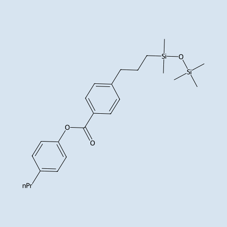 CCCc1ccc(OC(=O)c2ccc(CCC[Si](C)(C)O[Si](C)(C)C)cc2)cc1